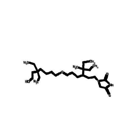 CCC(CC)(CCO)CCCCOCCCC(CCN1CC(=O)NC1=O)C(C)(CC)CC